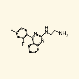 NCCNc1nc(-c2ccc(F)cc2F)c2ccccc2n1